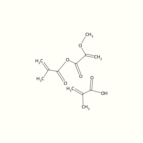 C=C(C)C(=O)O.C=C(C)C(=O)OC(=O)C(=C)OC